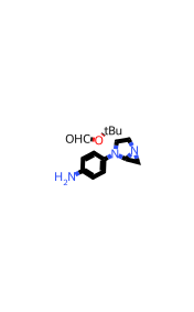 CC(C)(C)OC=O.Nc1ccc(N2CCN3CC32)cc1